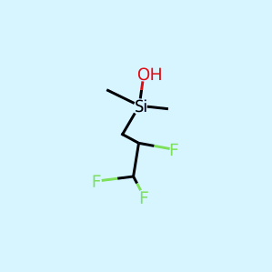 C[Si](C)(O)CC(F)C(F)F